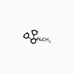 CC[N]c1cccc(-c2ccccc2)c1-c1ccccc1